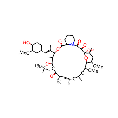 CCC1/C=C(\C)CC(C)CC(OC)C2OC(O)(C(=O)C(=O)N3CCCCC3C(=O)OC(C(C)=CC3CCC(O)C(OC)C3)C(C)C(O[Si](C)(C)C(C)(C)C)CC1=O)C(C)CC2OC